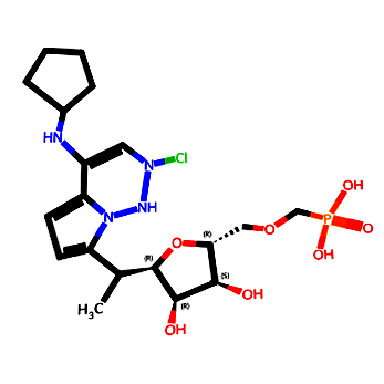 CC(c1ccc2n1NN(Cl)C=C2NC1CCCC1)[C@H]1O[C@H](COCP(=O)(O)O)[C@@H](O)[C@H]1O